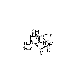 CON=c1c(Nc2ccncn2)cc(Cl)c2n1C1(CCCCC1)NC2=O